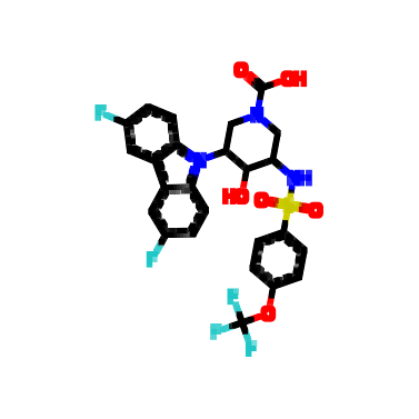 O=C(O)N1CC(NS(=O)(=O)c2ccc(OC(F)(F)F)cc2)C(O)C(n2c3ccc(F)cc3c3cc(F)ccc32)C1